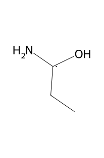 CC[C](N)O